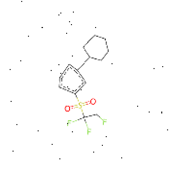 O=S(=O)(c1cccc(C2CCCCC2)c1)C(F)(F)CF